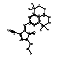 COON1N=C(C#N)/C(=C/c2cc3c4c(c2)C(C)(C)CCN4CCC3(C)C)C1=O